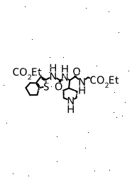 CCOC(=O)CNC(=O)C(NC(=O)Nc1sc2c(c1C(=O)OCC)CCCC2)C1CCNCC1